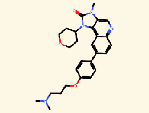 CN(C)CCCOc1ccc(-c2ccc3ncc4c(c3c2)n(C2CCOCC2)c(=O)n4C)cc1